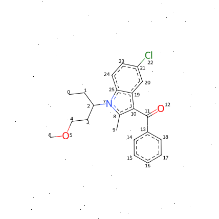 CCC(CCOC)n1c(C)c(C(=O)c2ccccc2)c2cc(Cl)ccc21